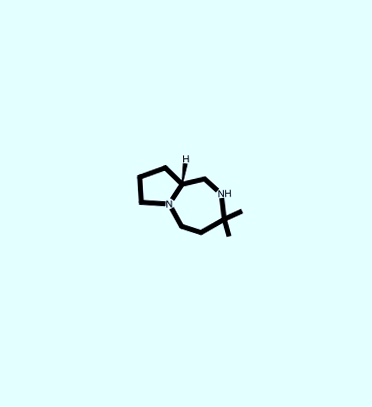 CC1(C)CCN2CCC[C@@H]2CN1